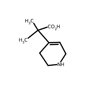 CC(C)(C(=O)O)C1=CCNCC1